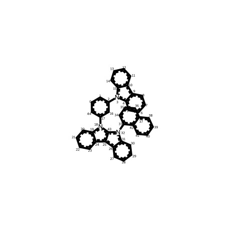 c1cc(-n2c3ccccc3c3ccccc32)cc(-n2c3ccccc3c3c4ccccc4n(-c4cccc5ccccc45)c32)c1